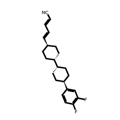 N#CC=CC=C[C@H]1CC[C@H]([C@H]2CC[C@H](c3ccc(F)c(F)c3)CC2)CC1